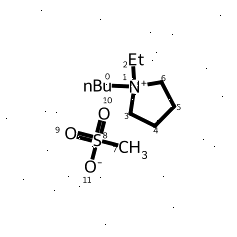 CCCC[N+]1(CC)CCCC1.CS(=O)(=O)[O-]